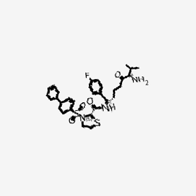 CC(C)[C@H](N)C(=O)CCC[C@H](NC(=O)[C@@H]1SCCN1S(=O)(=O)c1ccc(-c2ccccc2)cc1)c1ccc(F)cc1